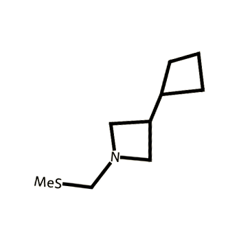 CSCN1CC(C2CCC2)C1